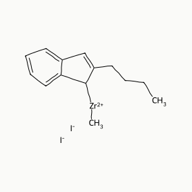 CCCCC1=Cc2ccccc2[CH]1[Zr+2][CH3].[I-].[I-]